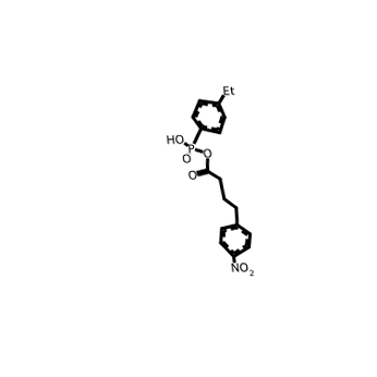 CCc1ccc(P(=O)(O)OC(=O)CCCc2ccc([N+](=O)[O-])cc2)cc1